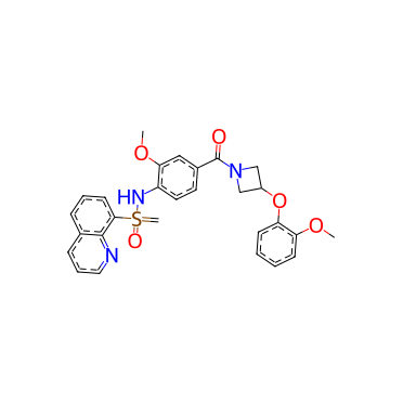 C=S(=O)(Nc1ccc(C(=O)N2CC(Oc3ccccc3OC)C2)cc1OC)c1cccc2cccnc12